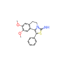 COc1cc2c(cc1OC)-c1c(-c3ccccc3)sc(=N)n1CC2